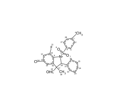 Cc1ccc(S(=O)(=O)N2c3c(F)cc(Cl)cc3C(C)(C=O)C2c2ccccc2)cc1